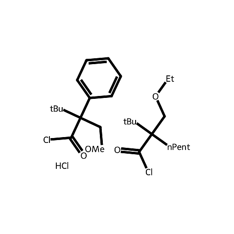 CCCCCC(COCC)(C(=O)Cl)C(C)(C)C.COCC(C(=O)Cl)(c1ccccc1)C(C)(C)C.Cl